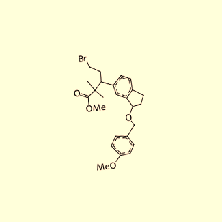 COC(=O)C(C)(C)C(CCBr)c1ccc2c(c1)C(OCc1ccc(OC)cc1)CC2